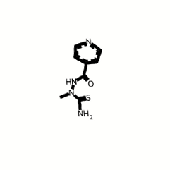 CN(NC(=O)c1ccncc1)C(N)=S